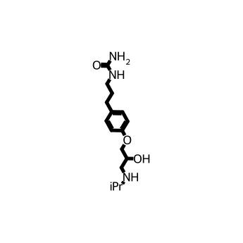 CC(C)NCC(O)COc1ccc(CCCNC(N)=O)cc1